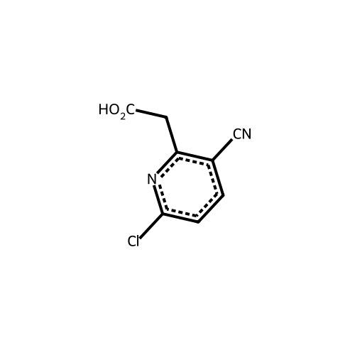 N#Cc1ccc(Cl)nc1CC(=O)O